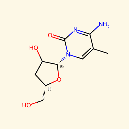 Cc1cn([C@@H]2O[C@H](CO)CC2O)c(=O)nc1N